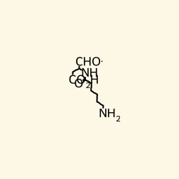 NCCCCCC(=O)NC([C]=O)CC(=O)O